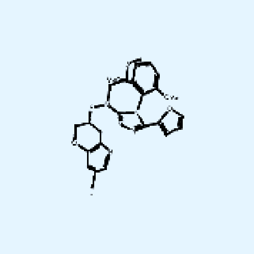 COc1cccc(OC)c1-n1c(-c2ccco2)nnc1N(CCSI)SC1COc2cc(Cl)cnc2C1